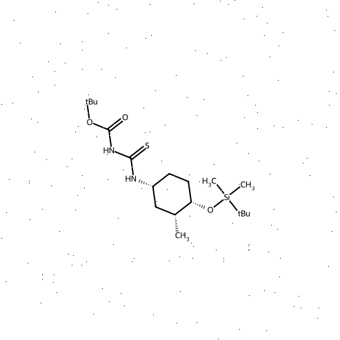 C[C@@H]1C[C@H](NC(=S)NC(=O)OC(C)(C)C)CC[C@@H]1O[Si](C)(C)C(C)(C)C